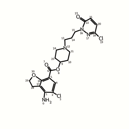 Nc1c(Cl)cc(C(=O)OC2CCN(CCCn3nc(Cl)ccc3=O)CC2)c2c1CCO2